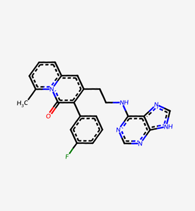 Cc1cccc2cc(CCNc3ncnc4[nH]cnc34)c(-c3cccc(F)c3)c(=O)n12